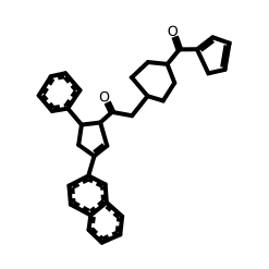 O=C(C1=CC=CC1)C1CCC(CC(=O)C2C=C(c3ccc4ccccc4c3)CC2c2ccccc2)CC1